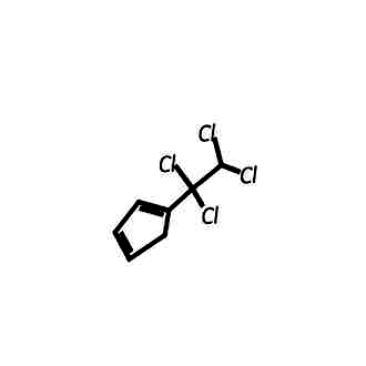 ClC(Cl)C(Cl)(Cl)C1=CC=CC1